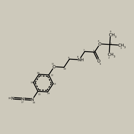 CC(C)(C)OC(=O)CNCCOc1ccc(N=[N+]=[N-])cc1